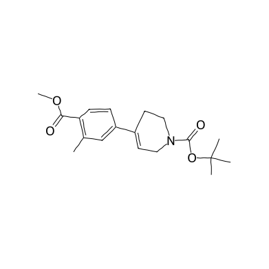 COC(=O)c1ccc(C2=CCN(C(=O)OC(C)(C)C)CC2)cc1C